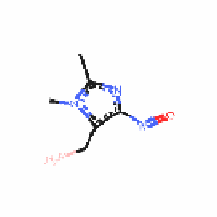 BCc1c(N=O)nc(C)n1C